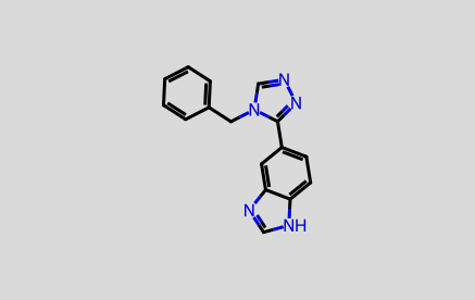 c1ccc(Cn2cnnc2-c2ccc3[nH]cnc3c2)cc1